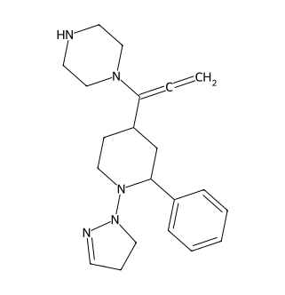 C=C=C(C1CCN(N2CCC=N2)C(c2ccccc2)C1)N1CCNCC1